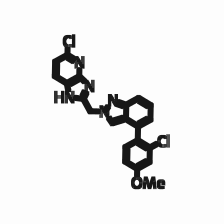 COc1ccc(-c2cccc3nn(Cc4nc5nc(Cl)ccc5[nH]4)cc23)c(Cl)c1